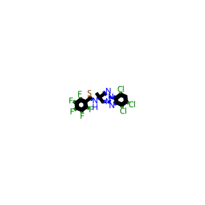 CC(C#N)(Cn1nc2c(Cl)cc(Cl)c(Cl)c2n1)NC(=S)c1c(F)c(F)c(F)c(F)c1F